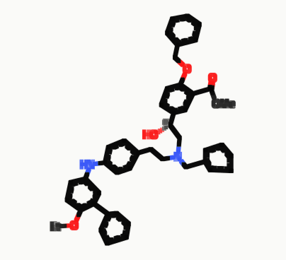 CCOc1ccc(Nc2ccc(CCN(Cc3ccccc3)C[C@H](O)c3ccc(OCc4ccccc4)c(C(=O)OC)c3)cc2)cc1-c1ccccc1